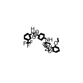 CCOc1ccccc1N(CC(=O)Nc1ccc(S(=O)(=O)Nc2cccc(C(F)(F)F)c2)cc1)S(C)(=O)=O